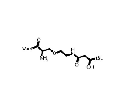 CNC(=O)C(N)COCCNC(=O)CC(O)C(C)(C)C